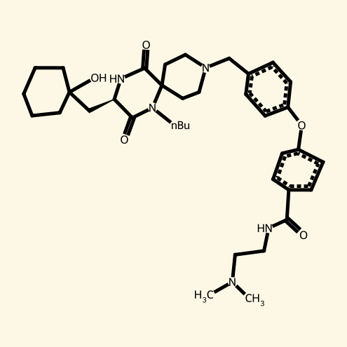 CCCCN1C(=O)[C@@H](CC2(O)CCCCC2)NC(=O)C12CCN(Cc1ccc(Oc3ccc(C(=O)NCCN(C)C)cc3)cc1)CC2